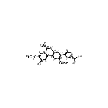 CCOC(=O)c1cn2c(cc1=O)-c1cc(OC)c(-c3cnn(C(F)F)c3)cc1CC2C(C)(C)C